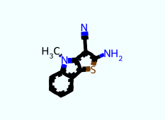 Cn1c2ccccc2c2sc(N)c(C#N)c21